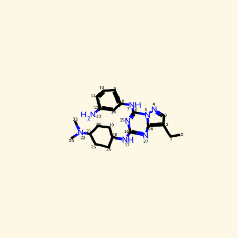 CCc1cnn2c(Nc3cccc(N)c3)nc(NC3CCC(N(C)C)CC3)nc12